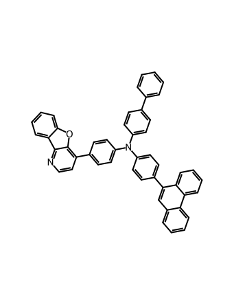 c1ccc(-c2ccc(N(c3ccc(-c4cc5ccccc5c5ccccc45)cc3)c3ccc(-c4ccnc5c4oc4ccccc45)cc3)cc2)cc1